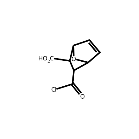 O=C(O)C1C2C=CC(O2)C1C(=O)Cl